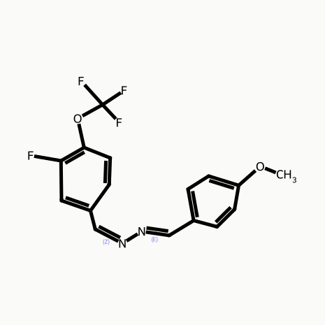 COc1ccc(/C=N/N=C\c2ccc(OC(F)(F)F)c(F)c2)cc1